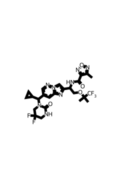 Cc1nonc1C(=O)NC(COC(C)(C)C(F)(F)F)c1cn2ncc(C(C3CC3)N3CC(F)(F)CNC3=O)cc2n1